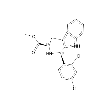 COC(=O)[C@H]1Cc2c([nH]c3ccccc23)[C@@H](c2ccc(Cl)cc2Cl)N1